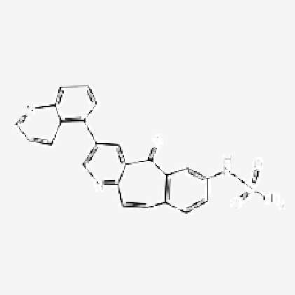 CS(=O)(=O)Nc1ccc2ccc3ncc(-c4cccc5ncccc45)cc3c(=O)c2c1